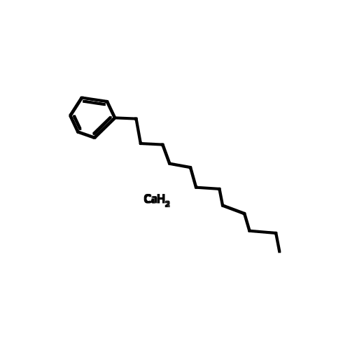 CCCCCCCCCCCCc1ccccc1.[CaH2]